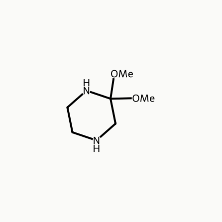 COC1(OC)CNCCN1